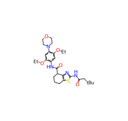 CCOc1cc(N2CCOCC2)c(OCC)cc1NC(=O)C1CCCc2sc(NC(=O)CC(C)(C)C)nc21